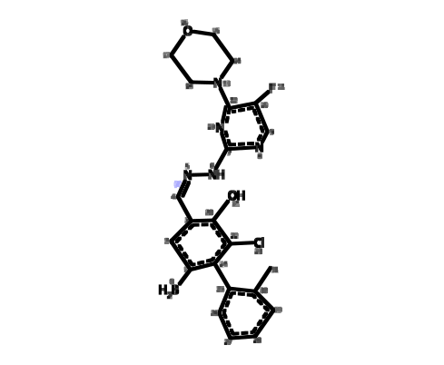 Bc1cc(/C=N\Nc2ncc(F)c(N3CCOCC3)n2)c(O)c(Cl)c1-c1ccccc1C